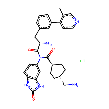 Cc1cnccc1-c1cccc(C[C@H](N)C(=O)N(c2ccc3[nH]c(=O)[nH]c3c2)C(=O)[C@H]2CC[C@H](CN)CC2)c1.Cl